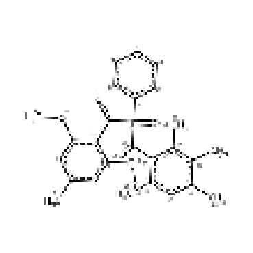 COc1cc(C)cc(OC)c1C(=O)P(=O)(C(=O)c1c(C)cc(C)c(C)c1C)c1ccccc1